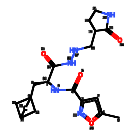 Cc1cc(C(=O)N[C@@H](CC23CC(C2)C3)C(=O)NNCC2CCNC2=O)no1